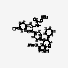 COc1n[nH]c2ncc(-c3ccccc3)c(N3CCN(C(=O)C(Cc4ccc(Cl)cc4)NC(=O)OC(C)(C)C)CC3)c12